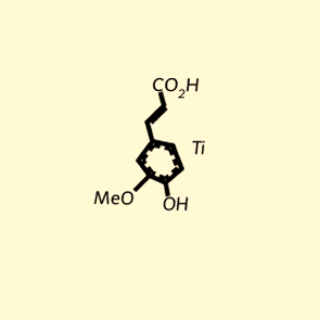 COc1cc(C=CC(=O)O)ccc1O.[Ti]